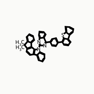 CC1(C)c2ccccc2-c2c1ccc1c3ccccc3n(-c3nc(-c4ccc(-c5cccc6c5sc5ccccc56)cc4)c4ccccc4n3)c21